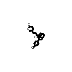 O=C(C=Cc1ccc(Cl)nc1)C12CC3CC(C1)CC(c1ccc(Cl)cc1)(C3)C2